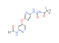 CCC(=O)Nc1cc(Oc2ccc(NC(=O)NC(=O)C3(C)CC3)nc2)ccn1